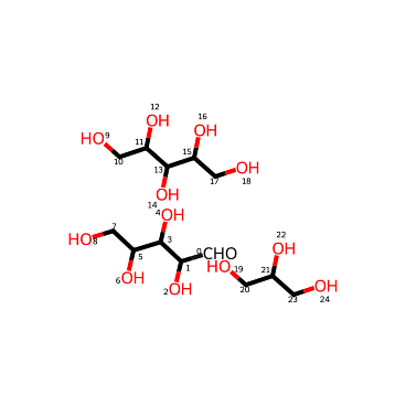 O=CC(O)C(O)C(O)CO.OCC(O)C(O)C(O)CO.OCC(O)CO